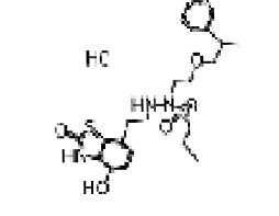 CCCS(=O)(=O)N(CCOCC(C)c1ccccc1)NCCc1ccc(O)c2[nH]c(=O)sc12.Cl